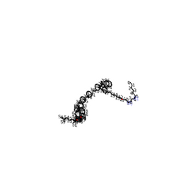 CCCCC/C=C\C/C=C\CCCCCCCCOCC(CN1CCOCC1)OCCCOCCCO[C@H]1CC[C@@]2(C)C(=CC[C@H]3[C@@H]4CC[C@H]([C@H](C)CCCC(C)C)[C@@]4(C)CC[C@@H]32)C1